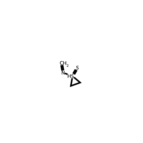 C=N[SH]1(=S)CC1